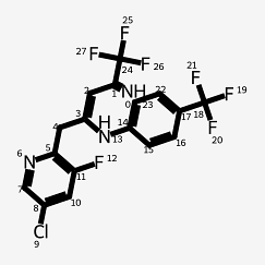 N=C(/C=C(/Cc1ncc(Cl)cc1F)Nc1ccc(C(F)(F)F)cc1)C(F)(F)F